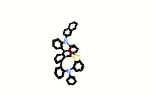 c1ccc(N(c2ccc3ccccc3c2)c2ccccc2-c2cc3c4c5c(cccc25)-c2ccccc2N(c2ccccc2)c2cccc(c2S4)S3)cc1